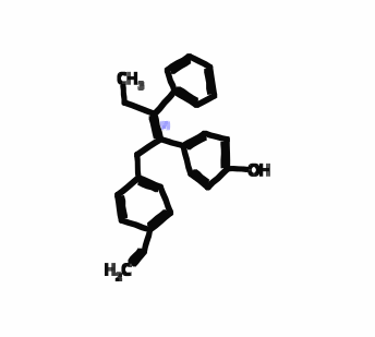 C=Cc1ccc(C/C(=C(\CC)c2ccccc2)c2ccc(O)cc2)cc1